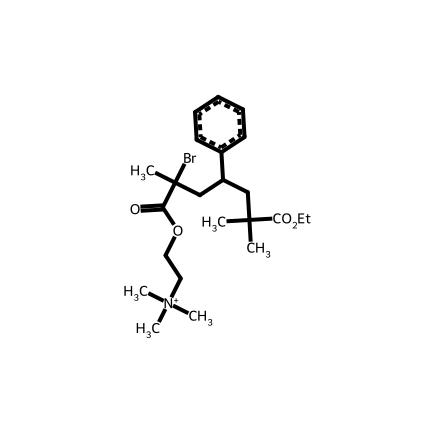 CCOC(=O)C(C)(C)CC(CC(C)(Br)C(=O)OCC[N+](C)(C)C)c1ccccc1